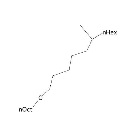 [CH2]CCCCCC(C)CCCCCCCCCCCCCC